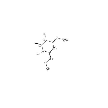 CC(=O)OCC1O[C@@H](SCC#N)C(C)[C@@H](C)[C@@H]1C